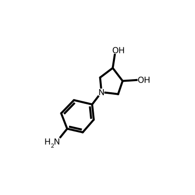 Nc1ccc(N2CC(O)C(O)C2)cc1